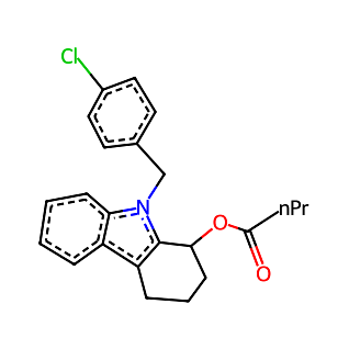 CCCC(=O)OC1CCCc2c1n(Cc1ccc(Cl)cc1)c1ccccc21